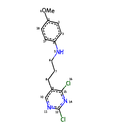 COc1ccc(NCCCc2cnc(Cl)nc2Cl)cc1